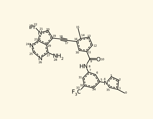 Cc1ccn(-c2cc(NC(=O)c3ccc(C)c(C#Cc4cn(C(C)C)c5ncnc(N)c45)c3)cc(C(F)(F)F)c2)c1